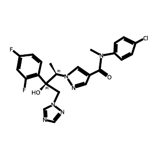 C[C@@H](n1cc(C(=O)N(C)c2ccc(Cl)cc2)cn1)[C@](O)(Cn1cncn1)c1ccc(F)cc1F